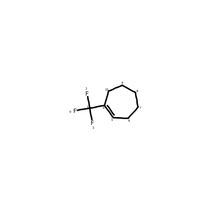 FC(F)(F)C1=[C]CCCCC1